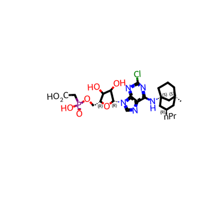 CCC[C@@H]1C[C@]2(C)CCC[C@](Nc3nc(Cl)nc4c3ncn4[C@@H]3O[C@H](COP(=O)(O)CC(=O)O)C(O)C3O)(C1)C2